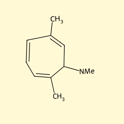 CNC1C=C(C)C=CC=C1C